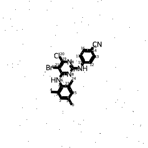 Cc1cc(C)c(Nc2nc(Nc3ccc(C#N)cc3)nc(Cl)c2Br)c(C)c1